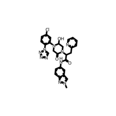 Cn1cc2cc(NC(=O)C(Cc3ccccn3)N3CC(O)N(c4cc(Cl)ccc4-n4cnnn4)CC3=O)ccc2n1